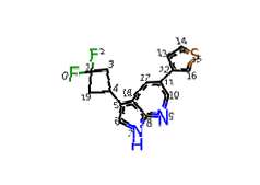 FC1(F)CC(c2c[nH]c3ncc(-c4ccsc4)cc23)C1